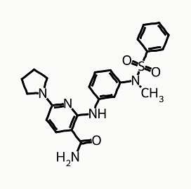 CN(c1cccc(Nc2nc(N3CCCC3)ccc2C(N)=O)c1)S(=O)(=O)c1ccccc1